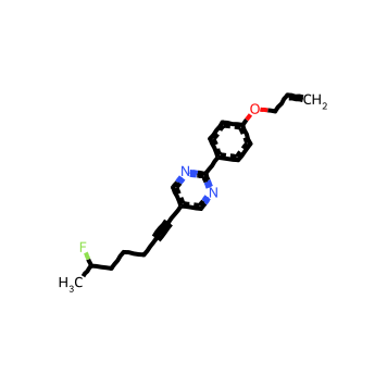 C=CCOc1ccc(-c2ncc(C#CCCCC(C)F)cn2)cc1